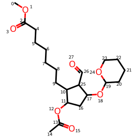 COC(=O)CCCCCCC1C(OC(C)=O)CC(OC2CCCCO2)C1C=O